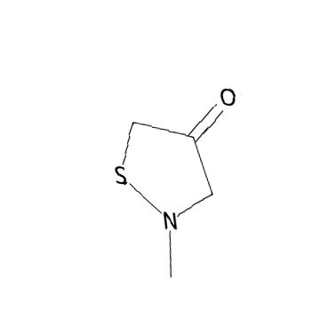 CN1CC(=O)CS1